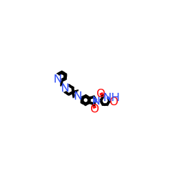 O=C1CCC(N2Cc3cc(N4CC5(CCN(Cc6ccccn6)CC5)C4)ccc3C2=O)C(=O)N1